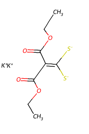 CCOC(=O)C(C(=O)OCC)=C([S-])[S-].[K+].[K+]